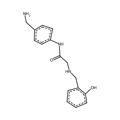 NCc1ccc(NC(=O)CNCc2ccccc2O)cc1